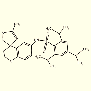 CC(C)c1cc(C(C)C)c(S(=O)(=O)Nc2ccc3c(c2)C2(CCO3)CSC(N)=N2)c(C(C)C)c1